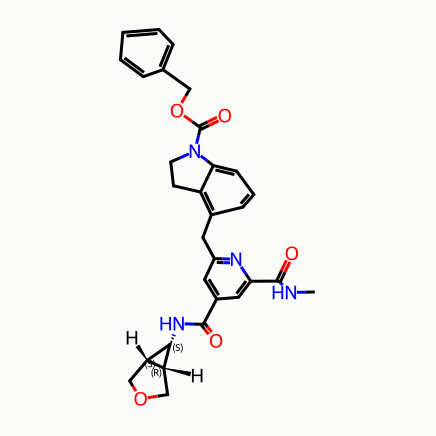 CNC(=O)c1cc(C(=O)N[C@@H]2[C@@H]3COC[C@@H]32)cc(Cc2cccc3c2CCN3C(=O)OCc2ccccc2)n1